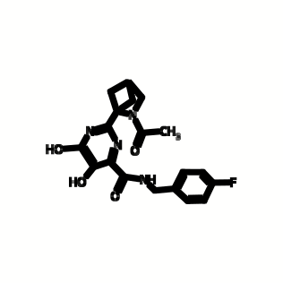 CC(=O)N1CC2CC1(c1nc(O)c(O)c(C(=O)NCc3ccc(F)cc3)n1)C2